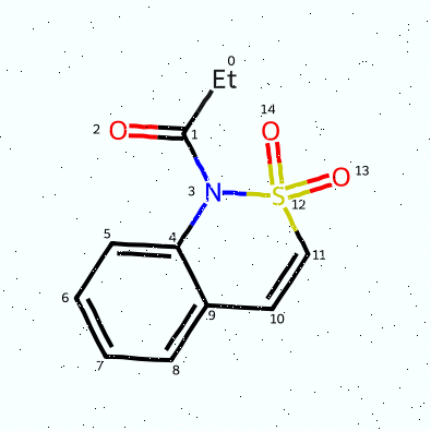 CCC(=O)N1c2ccccc2C=CS1(=O)=O